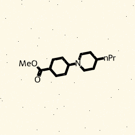 CCCC1CCN(C2CCC(C(=O)OC)CC2)CC1